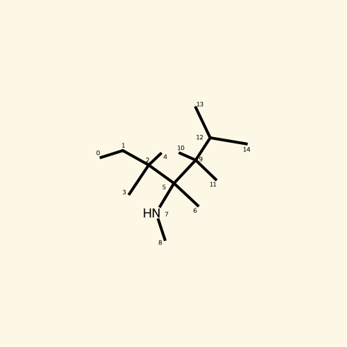 CCC(C)(C)C(C)(NC)C(C)(C)C(C)C